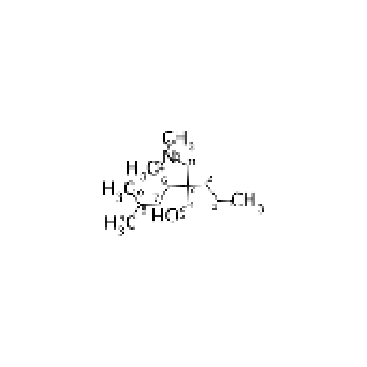 CCCC(CO)(CCC(C)C)CN(C)C